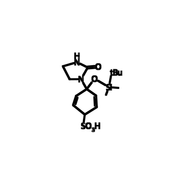 CC(C)(C)[Si](C)(C)OC1(N2CCNC2=O)C=CC(S(=O)(=O)O)C=C1